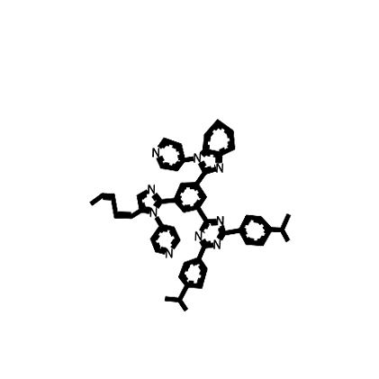 C/C=C\C=C/c1cnc(-c2cc(-c3nc(-c4ccc(C(C)C)cc4)nc(-c4ccc(C(C)C)cc4)n3)cc(-c3nc4ccccc4n3-c3ccncc3)c2)n1-c1ccncc1